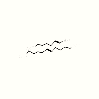 CC(=O)OCCCCC=CCCCCOC(C)=O.CCCCC=CCCCCOC(C)=O